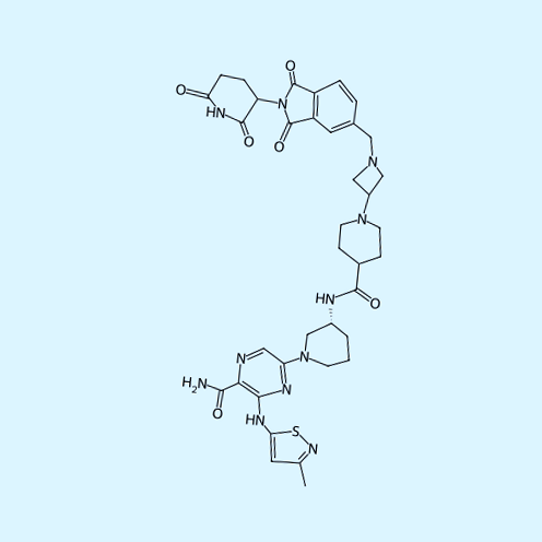 Cc1cc(Nc2nc(N3CCC[C@@H](NC(=O)C4CCN(C5CN(Cc6ccc7c(c6)C(=O)N(C6CCC(=O)NC6=O)C7=O)C5)CC4)C3)cnc2C(N)=O)sn1